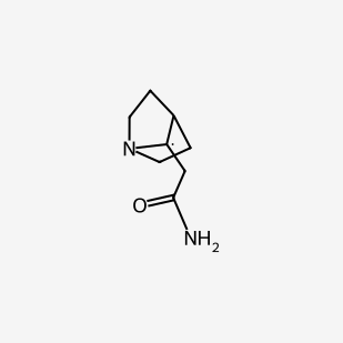 NC(=O)C[C]1C2CCN1CC2